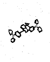 c1ccc(N(c2ccccc2)c2ccc(-c3ccc4c5c(cccc35)C3(CC3)c3cc(N(c5ccccc5)c5ccccc5)ccc3-4)cc2)cc1